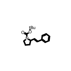 CC(C)(C)OC(=O)N1CCCC1C=Cc1ccccc1